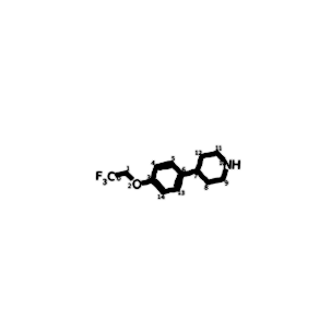 FC(F)(F)COc1ccc(C2CCNCC2)cc1